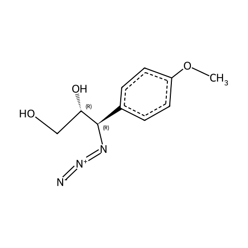 COc1ccc([C@@H](N=[N+]=[N-])[C@@H](O)CO)cc1